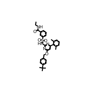 CCNC(=O)c1cccc(S(=O)(=O)Nc2nc(OCc3ccc(C(C)(C)C)cc3)cc(-c3c(C)cccc3C)n2)c1